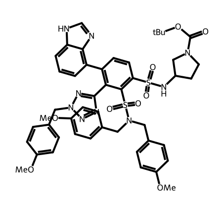 COc1ccc(CN(Cc2ccc(OC)cc2)S(=O)(=O)c2c(S(=O)(=O)NC3CCN(C(=O)OC(C)(C)C)C3)ccc(-c3cccc4[nH]cnc34)c2-c2nnn(Cc3ccc(OC)cc3)n2)cc1